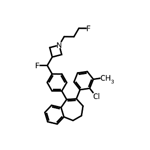 Cc1cccc(C2=C(c3ccc(C(F)C4CN(CCCF)C4)cc3)c3ccccc3CCC2)c1Cl